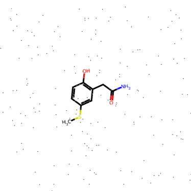 CSc1ccc(O)c(CC(N)=O)c1